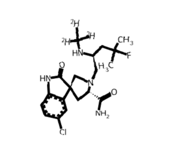 [2H]C([2H])([2H])N[C@H](CN1C[C@]2(C[C@H]1C(N)=O)C(=O)Nc1ccc(Cl)cc12)CC(C)(C)F